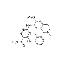 COc1cc2c(cc1Nc1nnc(C(N)=O)c(Nc3ccccc3C)n1)CN(C)CC2